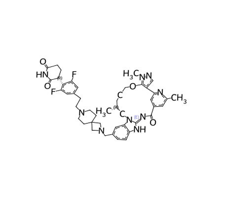 Cc1cc2cc(n1)-c1cnn(C)c1OCCC[C@@H](C)CN1/C(=N/C2=O)Nc2ccc(CN3CC4(CCN(CCc5cc(F)c([C@H]6CCC(=O)NC6=O)c(F)c5)CC4)C3)cc21